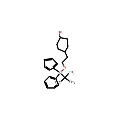 CC(C)(C)[Si](OCCC1CCC(O)CC1)(c1ccccc1)c1ccccc1